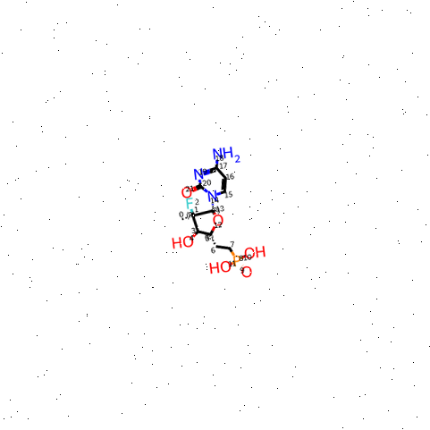 C[C@@]1(F)C(O)[C@@H](CCP(=O)(O)O)O[C@H]1n1ccc(N)nc1=O